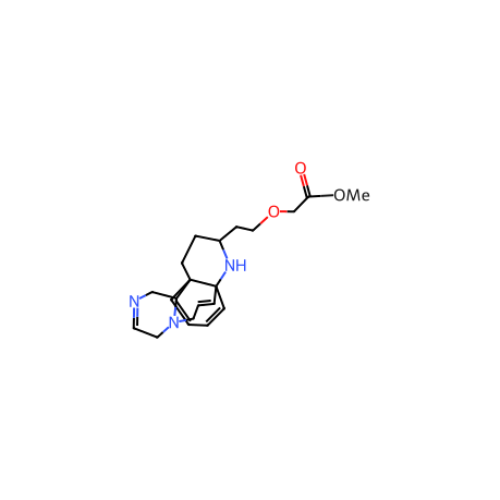 COC(=O)COCCC1CCC23C=CC=CC2(C=CCN2CC=NCC23)N1